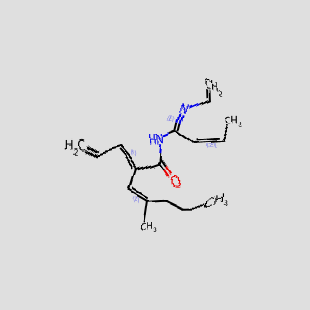 C=C/C=C(\C=C(\C)CCC)C(=O)NC(/C=C\C)=N/C=C